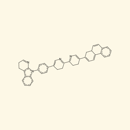 C1=CC2CC(C3=CN=C(C4=NC=C(c5ccc(-n6c7c(c8ccccc86)CCC=N7)cc5)CC4)CC3)=CC=C2c2ccccc21